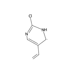 C=CC1=CN=C(Cl)N[CH]1